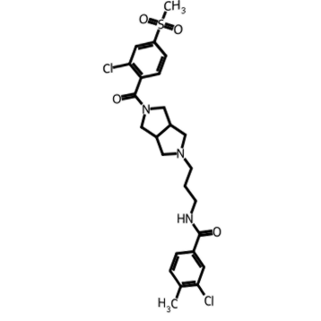 Cc1ccc(C(=O)NCCCN2CC3CN(C(=O)c4ccc(S(C)(=O)=O)cc4Cl)CC3C2)cc1Cl